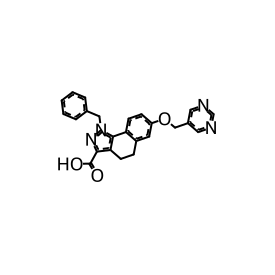 O=C(O)c1nn(Cc2ccccc2)c2c1CCc1cc(OCc3cncnc3)ccc1-2